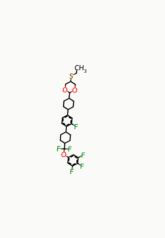 CCSC1COC(C2CCC(c3ccc(C4CCC(C(F)(F)Oc5cc(F)c(F)c(F)c5)CC4)c(F)c3)CC2)OC1